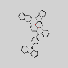 c1ccc(N(c2ccc(-c3ccc4ccccc4c3)cc2)c2ccc(-n3c4ccccc4c4ccccc43)cc2)c(-c2ccc3sc4ccccc4c3c2)c1